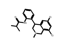 CC(C)C(=O)Nc1ccccc1C1CN(C)Cc2c(Cl)cc(Cl)cc21